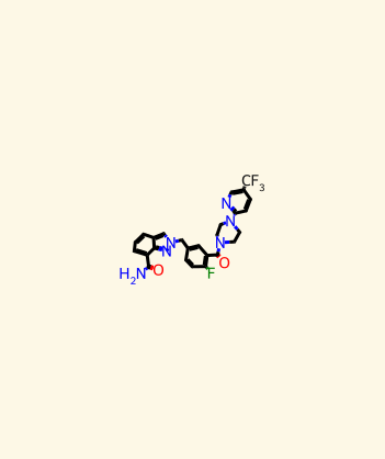 NC(=O)c1cccc2cn(Cc3ccc(F)c(C(=O)N4CCN(c5ccc(C(F)(F)F)cn5)CC4)c3)nc12